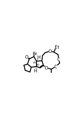 CCC1CCCCC(C)OC2=C[C@H]3C4CCCC4C(=O)C(Br)[C@H]3C2CCO1